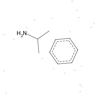 CC(C)N.c1ccccc1